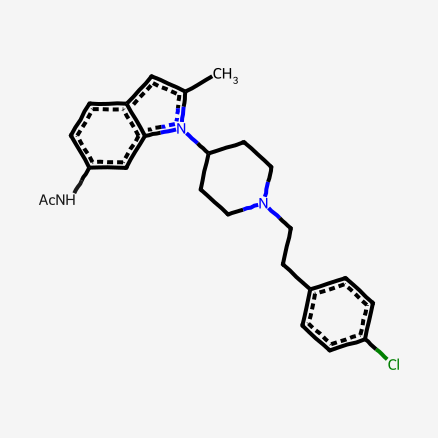 CC(=O)Nc1ccc2cc(C)n(C3CCN(CCc4ccc(Cl)cc4)CC3)c2c1